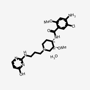 COc1cc(N)c(Cl)cc1C(=O)N[C@H]1CCN(CCCNc2nccc(O)n2)C[C@H]1OC.O